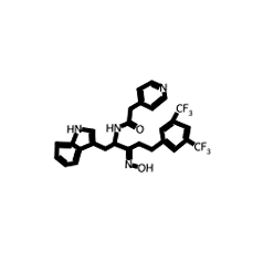 O=C(Cc1ccncc1)NC(Cc1c[nH]c2ccccc12)C(CCc1cc(C(F)(F)F)cc(C(F)(F)F)c1)=NO